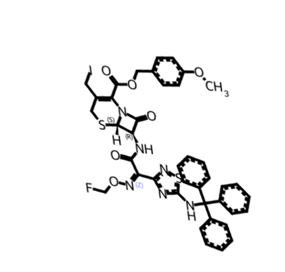 COc1ccc(COC(=O)C2=C(CI)CS[C@H]3[C@H](NC(=O)/C(=N\OCF)c4nsc(NC(c5ccccc5)(c5ccccc5)c5ccccc5)n4)C(=O)N23)cc1